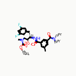 CCCN(CCC)C(=O)c1cc(C)cc(C(=O)N[C@@H](Cc2cc(F)cc(F)c2)[C@H](O)CN(C)C(=O)OC(C)(C)C)c1